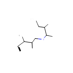 C=CC(C(C)CC)C(C)CNC(CC)C(CC)COC